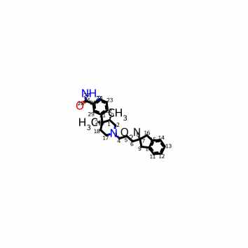 C[C@H]1CN(CCCC2([N+](=O)[O-])Cc3ccccc3C2)CC[C@]1(C)c1cccc(C(N)=O)c1